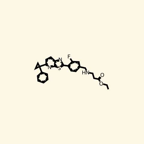 CCOC(=O)CCNCc1ccc(-c2nc3ccc(C4(c5ccccc5)CC4)nc3s2)c(F)c1